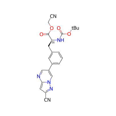 CC(C)(C)OC(=O)N[C@@H](Cc1cccc(-c2cnc3cc(C#N)nn3c2)c1)C(=O)OCC#N